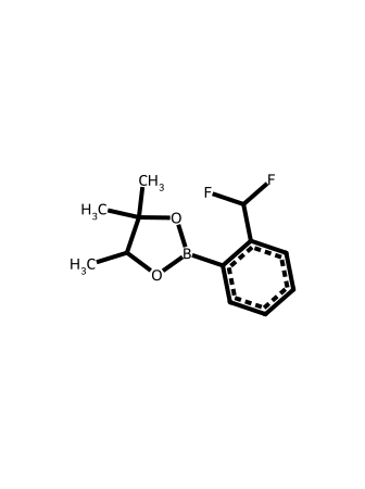 CC1OB(c2ccccc2C(F)F)OC1(C)C